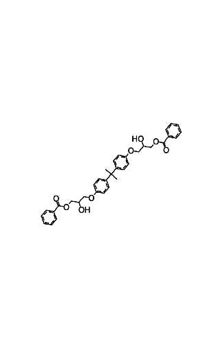 CC(C)(c1ccc(OCC(O)COC(=O)c2ccccc2)cc1)c1ccc(OCC(O)COC(=O)c2ccccc2)cc1